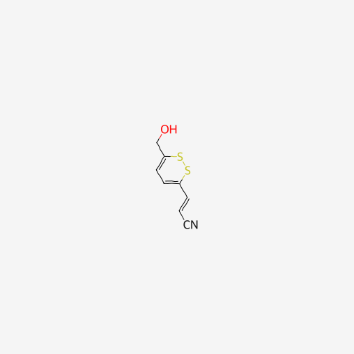 N#C/C=C/C1=CC=C(CO)SS1